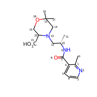 Cc1ncccc1C(=O)N[C@@H](C)CN1CC(C)(C)OCC1C(=O)O